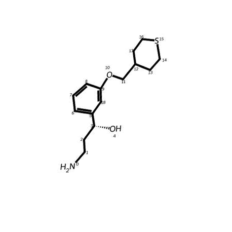 NCC[C@@H](O)c1cccc(OCC2CCSCC2)c1